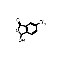 O=C1OC(O)c2ccc(C(F)(F)F)cc21